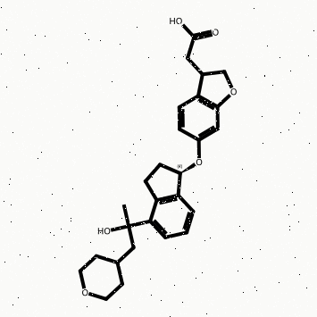 CC(O)(CC1CCOCC1)c1cccc2c1CC[C@H]2Oc1ccc2c(c1)OCC2CC(=O)O